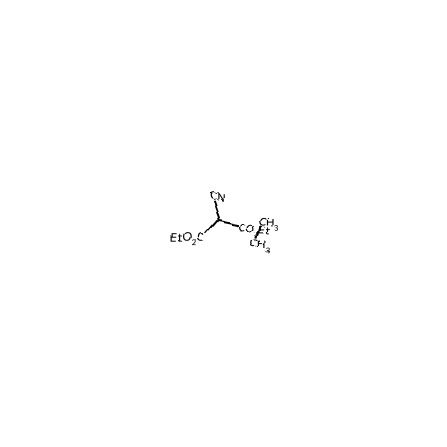 CC.CCOC(=O)C(C#N)C(=O)OCC